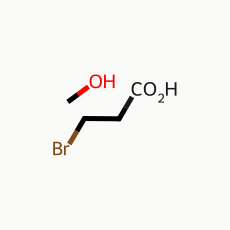 CO.O=C(O)CCBr